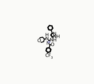 O=C(/N=C(\Nc1cc(-c2ccccc2)n[nH]1)NC1CCOCC1)c1ccc(C(F)(F)F)cc1